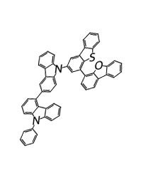 c1ccc(-n2c3ccccc3c3c(-c4ccc5c(c4)c4ccccc4n5-c4cc(-c5cccc6c5oc5ccccc56)c5sc6ccccc6c5c4)cccc32)cc1